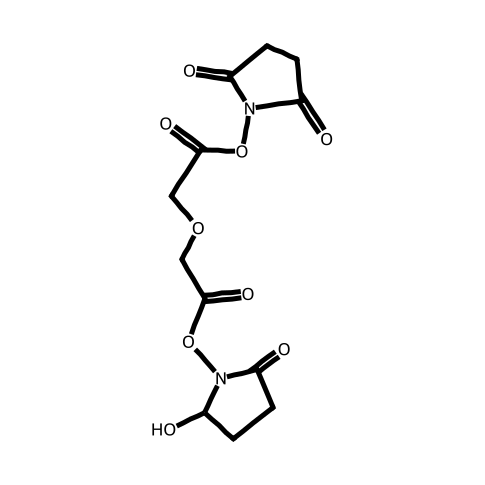 O=C(COCC(=O)ON1C(=O)CCC1O)ON1C(=O)CCC1=O